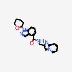 O=C(NCc1cn2ccccc2n1)c1cccc2c1cnn2C1CCCCO1